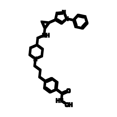 O=C(NO)c1ccc(CCCN2CCC(CNC3CC3c3cnn(-c4ccccc4)c3)CC2)cc1